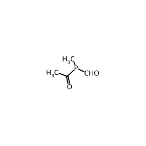 CC(=O)P(C)C=O